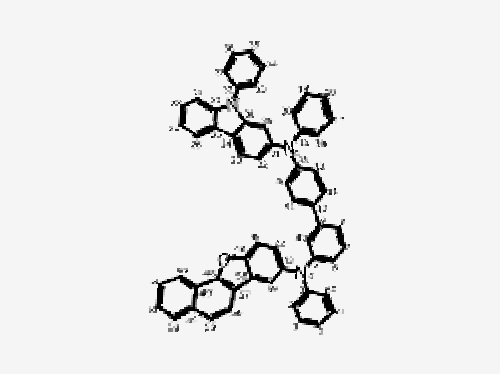 c1ccc(N(c2cccc(-c3ccc(N(c4ccccc4)c4ccc5c6ccccc6n(-c6ccccc6)c5c4)cc3)c2)c2ccc3oc4c5ccccc5ccc4c3c2)cc1